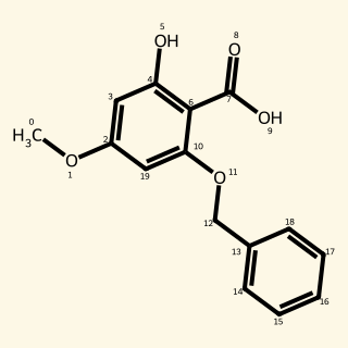 COc1cc(O)c(C(=O)O)c(OCc2ccccc2)c1